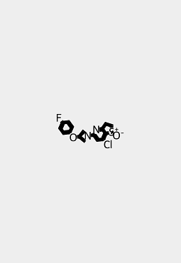 [O-][S+]1CCc2nc(N3CC(Oc4ccc(F)cc4)C3)cc(Cl)c21